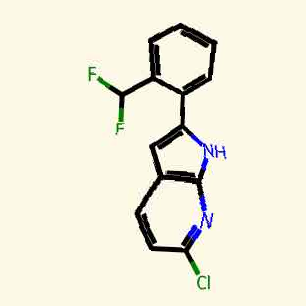 FC(F)c1ccccc1-c1cc2ccc(Cl)nc2[nH]1